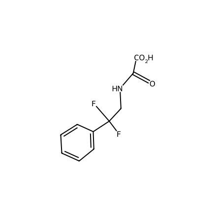 O=C(O)C(=O)NCC(F)(F)c1ccccc1